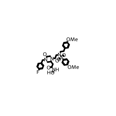 COc1ccc(CCN(CC(=O)N2CC(=O)N(Cc3ccc(F)cc3)CC2CC(=O)NO)S(=O)(=O)c2ccc(OC)cc2)cc1